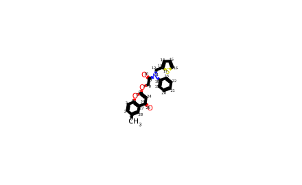 Cc1ccc2oc(OCC(=O)N(Cc3cccs3)c3ccccc3)cc(=O)c2c1